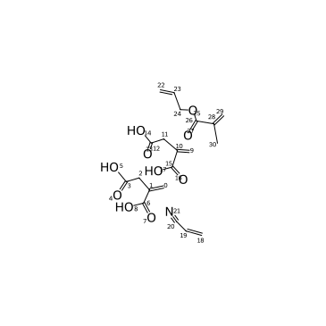 C=C(CC(=O)O)C(=O)O.C=C(CC(=O)O)C(=O)O.C=CC#N.C=CCOC(=O)C(=C)C